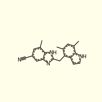 Cc1cc(C)c2[nH]ccc2c1Cc1nc2cc(C#N)cc(C)c2[nH]1